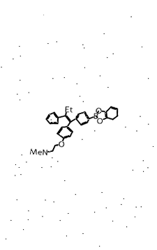 CC/C(=C(/c1ccc(OCCNC)cc1)c1ccc(B2OC3=C(CCC=C3)O2)cc1)c1ccccc1